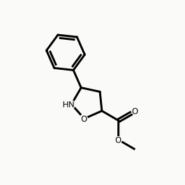 COC(=O)C1CC(c2ccccc2)NO1